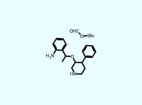 CC(C)(C)OC=O.CC(OC1CNCCC1c1ccccc1)c1ccccc1N